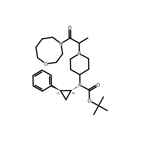 CC(C(=O)N1CCCCOCC1)N1CCC(N(C(=O)OC(C)(C)C)[C@@H]2C[C@H]2c2ccccc2)CC1